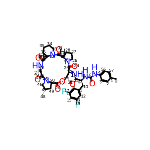 Cc1ccc(NC(=O)N[C@@H](Cc2cc(F)cc(F)c2)C(=O)N[C@@H]2C(=O)N3CCC[C@H]3C(=O)N3CCCC[C@H]3C(=O)N[C@@H](C)C(=O)N3C[C@@H](C)CC3C(=O)O[C@H]2C)cc1